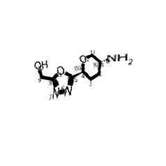 N[C@@H]1CC[C@@H](c2nnc(CO)o2)OC1